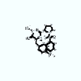 CC(C)(C)OC(=O)[C@H](Cc1ccc(N)cc1)NC(=O)[C@@H]1CCCN1S(=O)(=O)c1ccccc1